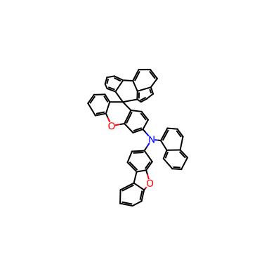 c1ccc2c(c1)Oc1cc(N(c3ccc4c(c3)oc3ccccc34)c3cccc4ccccc34)ccc1C21c2ccccc2-c2cccc3cccc1c23